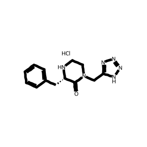 Cl.O=C1[C@H](Cc2ccccc2)NCCN1Cc1nnn[nH]1